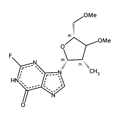 COC[C@H]1O[C@@H](n2cnc3c(=O)[nH]c(F)nc32)[C@@H](C)C1OC